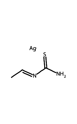 CC=NC(N)=S.[Ag]